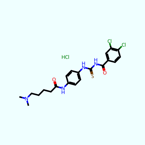 CN(C)CCCCC(=O)Nc1ccc(NC(=S)NC(=O)c2ccc(Cl)c(Cl)c2)cc1.Cl